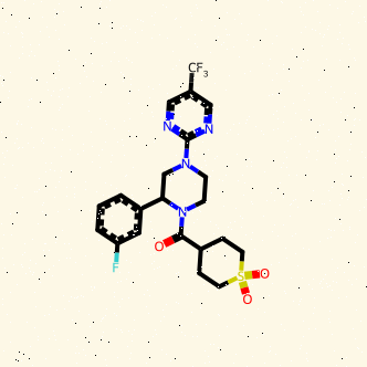 O=C(C1CCS(=O)(=O)CC1)N1CCN(c2ncc(C(F)(F)F)cn2)CC1c1cccc(F)c1